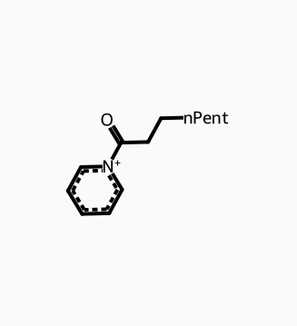 CCCCCCCC(=O)[n+]1ccccc1